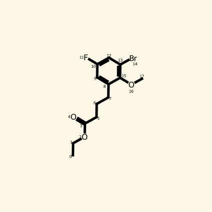 CCOC(=O)CCCc1cc(F)cc(Br)c1OC